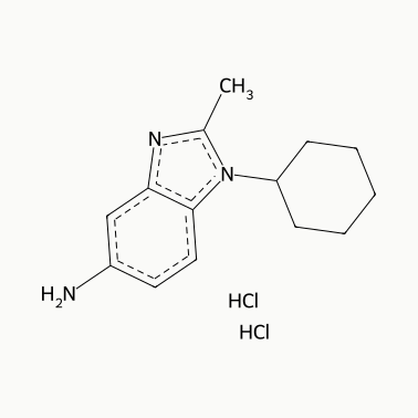 Cc1nc2cc(N)ccc2n1C1CCCCC1.Cl.Cl